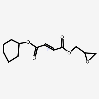 O=C(/C=C/C(=O)OC1CCCCC1)OCC1CO1